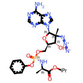 CC(C)OC(=O)[C@@H](C)N[P@](=O)(OC[C@H]1O[C@@H](n2cnc3c(N)ncnc32)[C@](C)(N=[N+]=[N-])[C@@H]1O)Oc1ccccc1